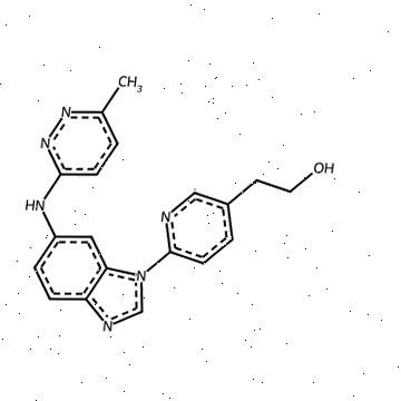 Cc1ccc(Nc2ccc3ncn(-c4ccc(CCO)[c]n4)c3c2)nn1